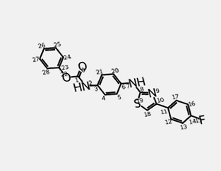 O=C(Nc1ccc(Nc2nc(-c3ccc(F)cc3)cs2)cc1)Oc1ccccc1